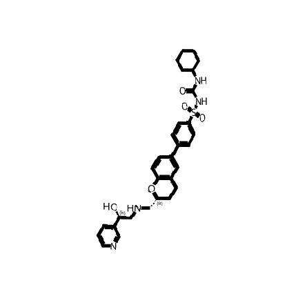 O=C(NC1CCCCC1)NS(=O)(=O)c1ccc(-c2ccc3c(c2)CC[C@H](CNC[C@H](O)c2cccnc2)O3)cc1